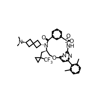 Cc1cccc(C)c1-c1cc2nc(n1)NS(=O)(=O)c1cccc(c1)C(=O)N([C@H]1CC3(C[C@H](N(C)C)C3)C1)[C@H](CC1(C(F)(F)F)CC1)CO2